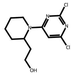 OCCC1CCCCN1c1cc(Cl)nc(Cl)n1